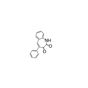 O=c1[nH]c2ccccc2cc(-c2ccccc2)c1=O